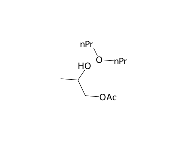 CC(=O)OCC(C)O.CCCOCCC